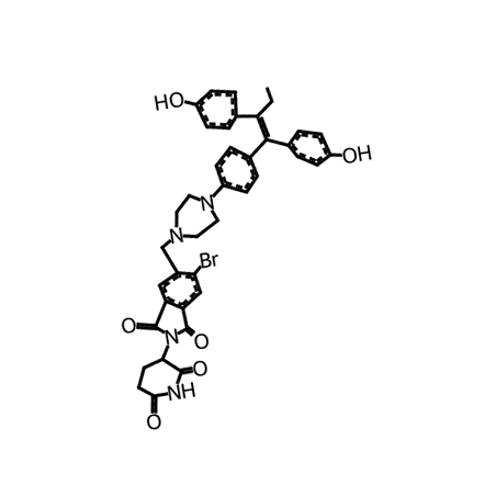 CCC(=C(c1ccc(O)cc1)c1ccc(N2CCN(Cc3cc4c(cc3Br)C(=O)N(C3CCC(=O)NC3=O)C4=O)CC2)cc1)c1ccc(O)cc1